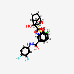 O=C(Nc1ccc(F)c(F)c1)c1ccc(Cl)c(S(=O)(=O)[C@H]2CC3CCC(C2)[C@]3(O)C(O)c2nc3ccccc3o2)c1